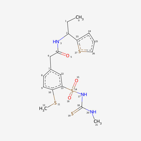 CCC(NC(=O)Cc1ccc(SC)c(S(=O)(=O)NC(=S)NC)c1)c1cccs1